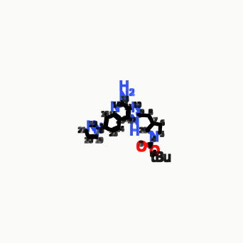 CC(C)(C)OC(=O)N1CCC(Cc2nc3c(N)nc4cc(-n5cccn5)ccc4c3[nH]2)C1